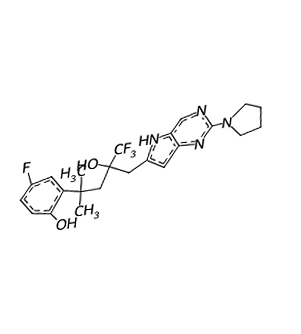 CC(C)(CC(O)(Cc1cc2nc(N3CCCC3)ncc2[nH]1)C(F)(F)F)c1cc(F)ccc1O